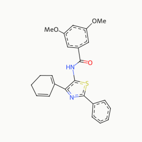 COc1cc(OC)cc(C(=O)Nc2sc(-c3ccccc3)nc2C2=CCCC=C2)c1